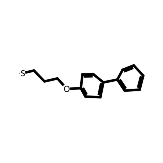 [S]CCCOc1ccc(-c2ccccc2)cc1